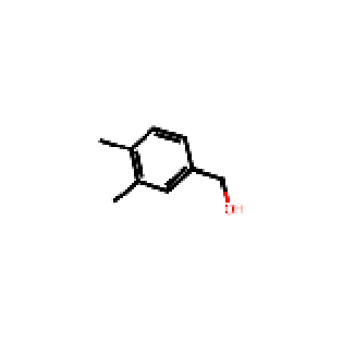 Cc1ccc(CO)cc1C